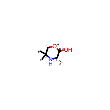 C[C@@H]1NC(C)(C)COC1O